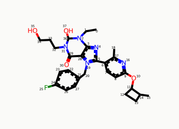 CCN1c2nc(-c3ccc(OC4CCC4C)nc3C)n(Cc3ccc(F)cc3)c2C(=O)N(CCCO)C1O